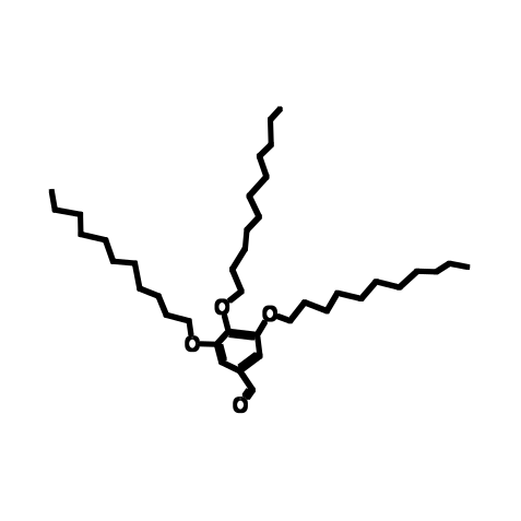 CCCCCCCCCCCOc1cc(C=O)cc(OCCCCCCCCCCC)c1OCCCCCCCCCCC